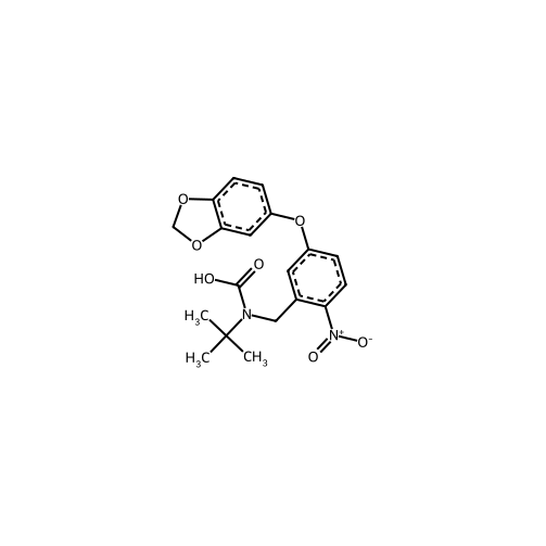 CC(C)(C)N(Cc1cc(Oc2ccc3c(c2)OCO3)ccc1[N+](=O)[O-])C(=O)O